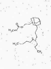 C=CC(=O)OCCC12CC3CC(C1)CC(CCSC(CCC)SCCCC)(C3)C2